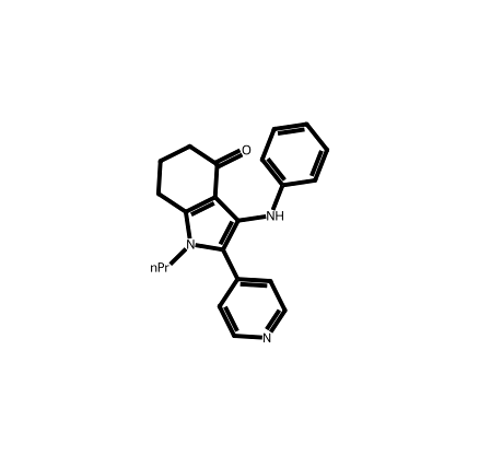 CCCn1c2c(c(Nc3ccccc3)c1-c1ccncc1)C(=O)CCC2